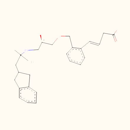 C[C@@H](OC[C@H](O)CNC(C)(C)CC1Cc2ccccc2C1)c1ccccc1C=CCC(=O)O